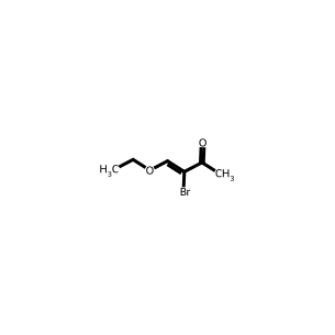 CCOC=C(Br)C(C)=O